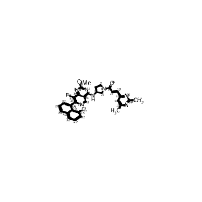 COc1nc(NC2CCN(C(=O)/C=C/c3cc(C)nc(C)n3)C2)c2cnc(-c3cccc4cccc(Cl)c34)c(F)c2n1